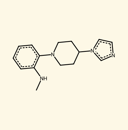 CNc1ccccc1N1CCC(n2ccnc2)CC1